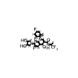 C[C@H](NC(=O)c1cn(-c2c(F)cc(F)cc2F)c2nc(N3C[C@@H](O)[C@H](O)C3)c(F)cc2c1=O)C(F)(F)F